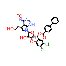 CO/N=c1\nc[nH]c2c1c(CCO)cn2[C@@H]1O[C@H](C(OC(=O)c2ccc(-c3ccccc3)cc2)c2ccc(Cl)c(Cl)c2)[C@@H](O)[C@H]1O